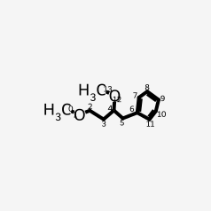 COCCC(Cc1ccccc1)OC